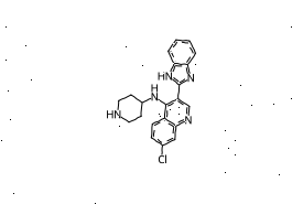 Clc1ccc2c(NC3CCNCC3)c(-c3nc4ccccc4[nH]3)cnc2c1